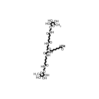 C[C@@H]1O[C@@H](OCCNC(=O)CCCCCNC(=O)[C@H](CCCCNC(=O)CCCCC(=O)NCCO[C@@H]2O[C@@H](C)[C@@H](O)[C@@H](O)[C@@H]2O)NC(=O)CCCCCCC(=O)NI)[C@@H](O)[C@H](O)[C@@H]1O